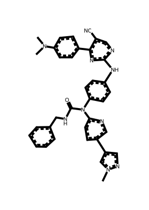 CN(C)c1ccc(-c2nc(Nc3ccc(N(C(=O)NCc4ccccc4)c4ccc(-c5cnn(C)c5)cn4)cc3)ncc2C#N)cc1